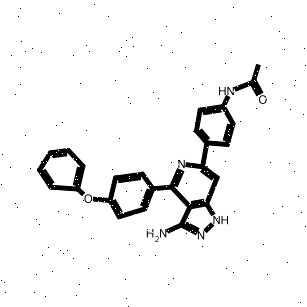 CC(=O)Nc1ccc(-c2cc3[nH]nc(N)c3c(-c3ccc(Oc4ccccc4)cc3)n2)cc1